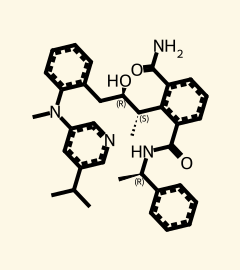 CC(C)c1cncc(N(C)c2ccccc2C[C@@H](O)[C@@H](C)c2c(C(N)=O)cccc2C(=O)N[C@H](C)c2ccccc2)c1